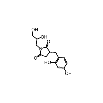 O=C1CC(Cc2ccc(O)cc2O)C(=O)N1CC(O)CO